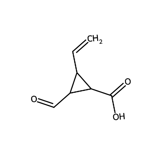 C=CC1C(C=O)C1C(=O)O